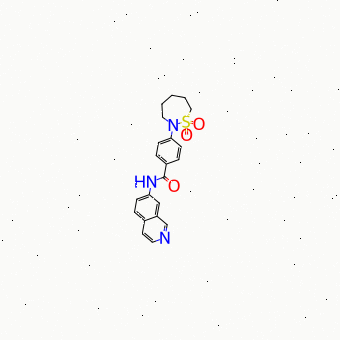 O=C(Nc1ccc2ccncc2c1)c1ccc(N2CCCCCS2(=O)=O)cc1